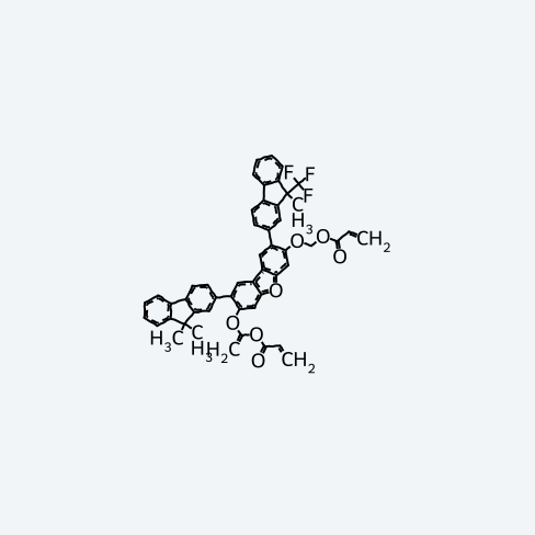 C=CC(=O)OCOc1cc2oc3cc(OC(=C)OC(=O)C=C)c(-c4ccc5c(c4)C(C)(C)c4ccccc4-5)cc3c2cc1-c1ccc2c(c1)C(C)(C(F)(F)F)c1ccccc1-2